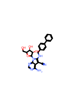 N#Cc1c(NCc2ccc(-c3ccccc3)cc2)n(C2OC(CO)[C@@H](O)[C@H]2O)c2ncnc(N)c12